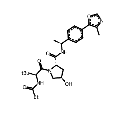 CCC(=O)N[C@H](C(=O)N1C[C@H](O)C[C@H]1C(=O)N[C@@H](C)c1ccc(-c2ocnc2C)cc1)C(C)(C)C